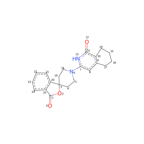 O=C1OC2(CCN(c3cc4c(c(=O)[nH]3)CCCC4)CC2)c2ccccc21